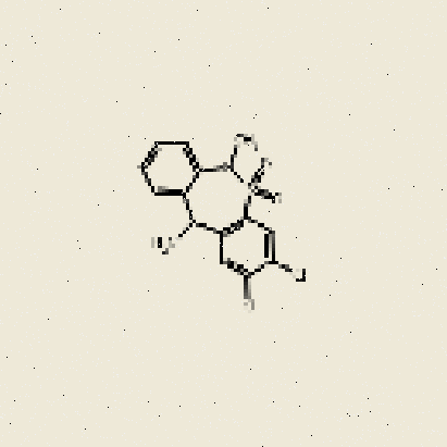 CN1c2ccccc2C(N)c2cc(Cl)c(Cl)cc2S1(=O)=O